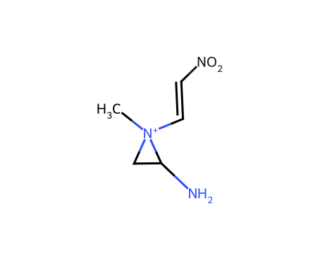 C[N+]1(C=C[N+](=O)[O-])CC1N